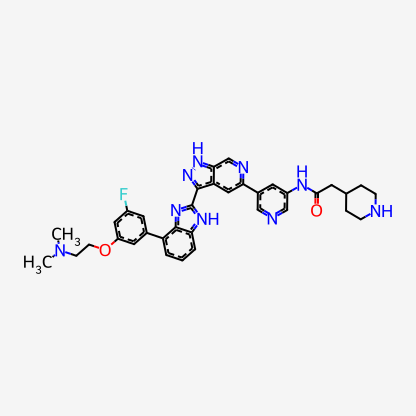 CN(C)CCOc1cc(F)cc(-c2cccc3[nH]c(-c4n[nH]c5cnc(-c6cncc(NC(=O)CC7CCNCC7)c6)cc45)nc23)c1